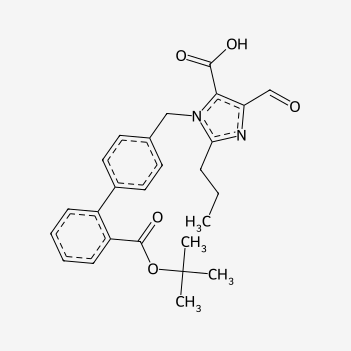 CCCc1nc(C=O)c(C(=O)O)n1Cc1ccc(-c2ccccc2C(=O)OC(C)(C)C)cc1